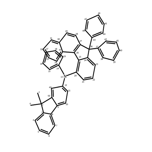 CC1(C)c2ccccc2-c2ccc(N(c3ccccc3)c3cccc4c3-c3c(ccc5ccccc35)C4(c3ccccc3)c3ccccc3)cc21